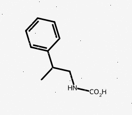 CC(CNC(=O)O)c1ccccc1